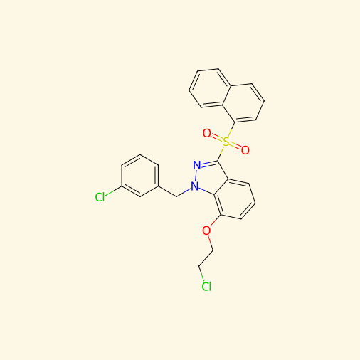 O=S(=O)(c1cccc2ccccc12)c1nn(Cc2cccc(Cl)c2)c2c(OCCCl)cccc12